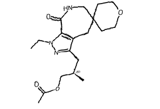 CCn1nc(C[C@@H](C)COC(C)=O)c2c1C(=O)NCC1(CCOCC1)C2